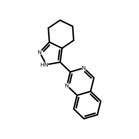 c1ccc2nc(-c3[nH]nc4c3CCCC4)ncc2c1